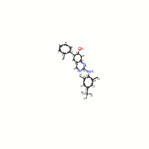 Cc1ccccc1-c1cc2cnc(Nc3c(C)cc(C(C)(C)C)cc3C)nc2cc1O